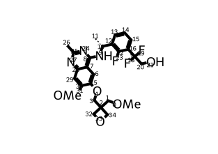 COCC1(COc2cc3c(N[C@H](C)c4cccc(C(F)(F)CO)c4F)nc(C)nc3cc2OC)COC1